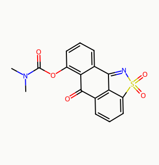 CN(C)C(=O)Oc1cccc2c1C(=O)c1cccc3c1C2=NS3(=O)=O